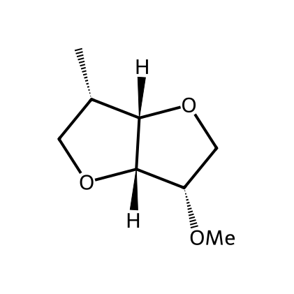 CO[C@H]1CO[C@@H]2[C@H]1OC[C@@H]2C